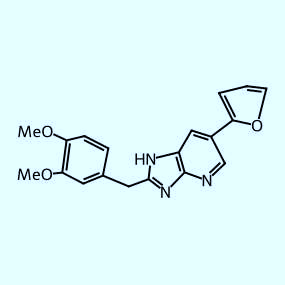 COc1ccc(Cc2nc3ncc(-c4ccco4)cc3[nH]2)cc1OC